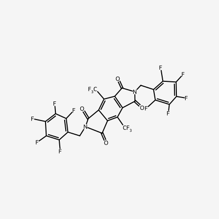 O=c1c2c(C(F)(F)F)c3c(=O)n(Cc4c(F)c(F)c(F)c(F)c4F)c(=O)c3c(C(F)(F)F)c2c(=O)n1Cc1c(F)c(F)c(F)c(F)c1F